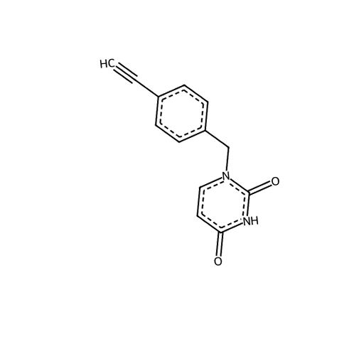 C#Cc1ccc(Cn2ccc(=O)[nH]c2=O)cc1